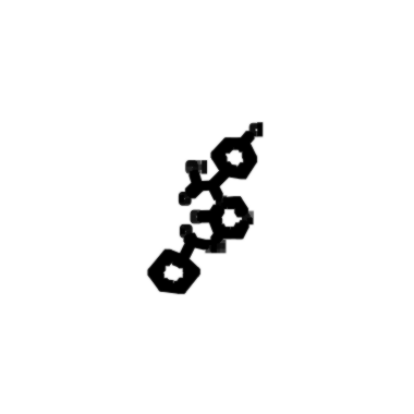 O=C(Nc1cncn(C(C(=O)O)c2ccc(Cl)cc2)c1=O)c1ccccc1